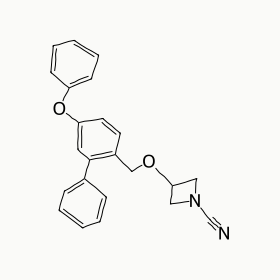 N#CN1CC(OCc2ccc(Oc3ccccc3)cc2-c2ccccc2)C1